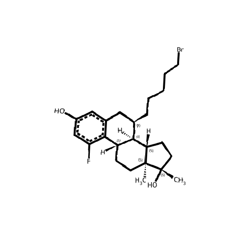 C[C@]1(O)CC[C@H]2[C@@H]3[C@H](CCCCCBr)Cc4cc(O)cc(F)c4[C@H]3CC[C@@]21C